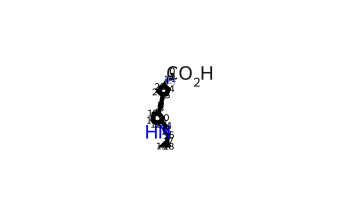 O=C(O)/C=C/c1ccc(C#Cc2cccc(CNCC3CC3)c2)cc1